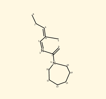 C=C(/N=C\C(C)=C/CC)N1CCCCCC1